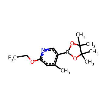 Cc1cc(OCC(F)(F)F)ncc1B1OC(C)(C)C(C)(C)O1